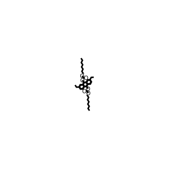 CCCCCCCCOC(=O)Oc1c2ccc(CC)cc2c(OC(=O)OCCCCCCCC)c2cc(CC)ccc12